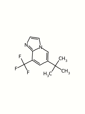 CC(C)(C)c1cc(C(F)(F)F)c2nccn2c1